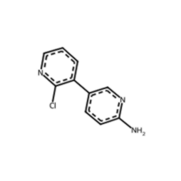 Nc1ccc(-c2cccnc2Cl)cn1